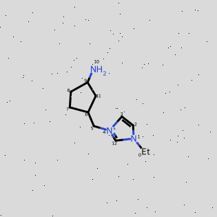 CCn1cc[n+](CC2CCC(N)C2)c1